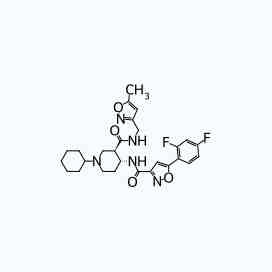 Cc1cc(CNC(=O)[C@@H]2CN(C3CCCCC3)CC[C@H]2NC(=O)c2cc(-c3ccc(F)cc3F)on2)no1